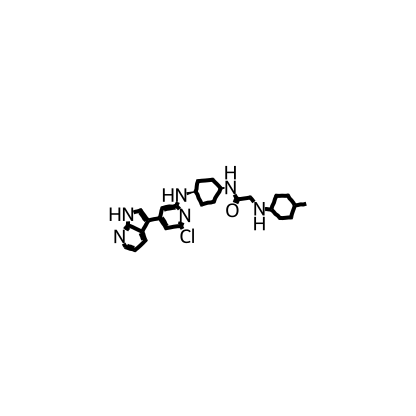 CC1CCC(NCC(=O)N[C@H]2CC[C@H](Nc3cc(-c4c[nH]c5ncccc45)cc(Cl)n3)CC2)CC1